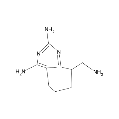 NCC1CCCc2c(N)nc(N)nc21